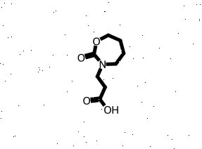 O=C(O)CCN1CCCCOC1=O